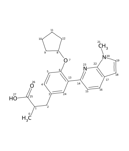 CC(Cc1ccc(OC2CCCC2)c(-c2ccc3ccn(C)c3n2)c1)C(=O)O